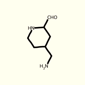 NCC1CCNC(C=O)C1